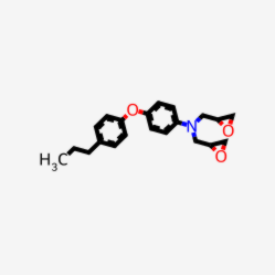 CCCc1ccc(Oc2ccc(N(CC3CO3)CC3CO3)cc2)cc1